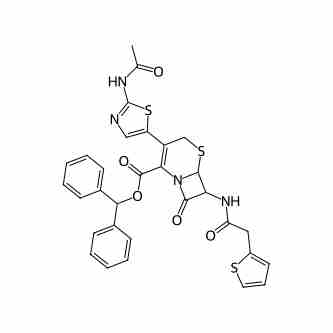 CC(=O)Nc1ncc(C2=C(C(=O)OC(c3ccccc3)c3ccccc3)N3C(=O)C(NC(=O)Cc4cccs4)C3SC2)s1